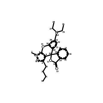 CCCCc1nn(C)c2c1C1(OC(=O)c3ccccc31)c1ccc(N(CC)CC)cc1O2